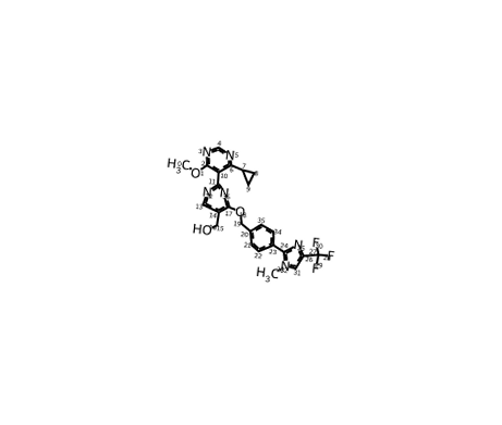 COc1ncnc(C2CC2)c1-c1ncc(CO)c(OCc2ccc(-c3nc(C(F)(F)F)cn3C)cc2)n1